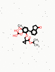 COc1ccc(-c2cccc3c2CCC3=O)c(OCC2(C(=O)OC(C)C)CC2)c1OC(O)O